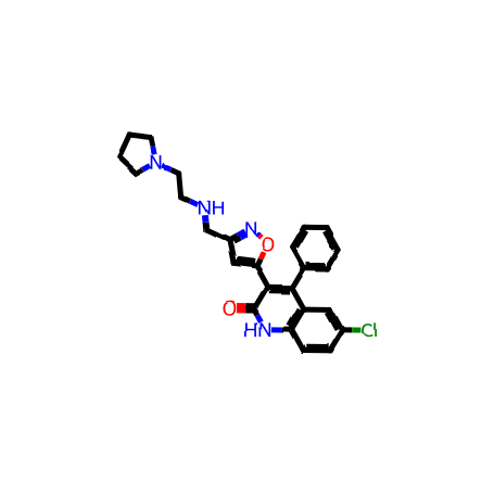 O=c1[nH]c2ccc(Cl)cc2c(-c2ccccc2)c1-c1cc(CNCCN2CCCC2)no1